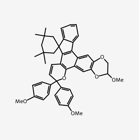 COc1ccc(C2(c3ccc(OC)cc3)C=Cc3c4c(c5cc6c(cc5c3O2)OC(OC)CO6)-c2ccccc2C42CC(C)(C)CC(C)(C)C2)cc1